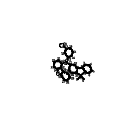 CC1(C)c2ccccc2-c2cc(N(c3cccc(Cl)c3)c3cccc4oc5ccccc5c34)ccc21